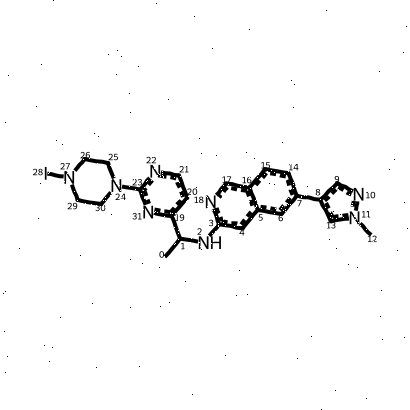 CC(Nc1cc2cc(-c3cnn(C)c3)ccc2cn1)c1ccnc(N2CCN(I)CC2)n1